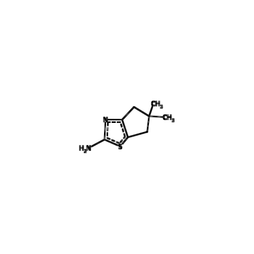 CC1(C)Cc2nc(N)sc2C1